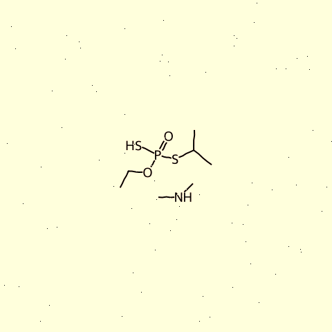 CCOP(=O)(S)SC(C)C.CNC